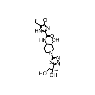 CCc1[nH]c(C(=O)N[C@@H]2CCN(c3nnc([C@](C)(O)CO)s3)C[C@@H]2O)nc1Cl